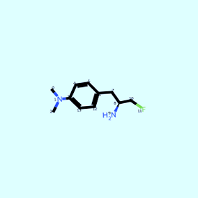 CN(C)c1ccc(C[C@H](N)CF)cc1